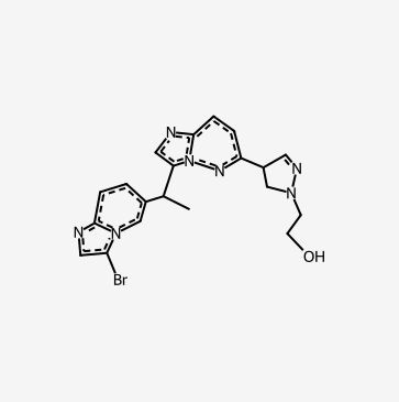 CC(c1ccc2ncc(Br)n2c1)c1cnc2ccc(C3C=NN(CCO)C3)nn12